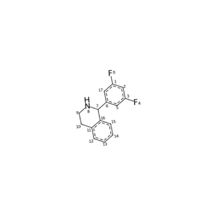 Fc1cc(F)cc(C2NCCc3ccccc32)c1